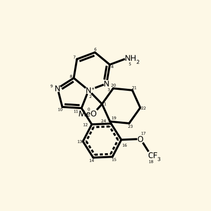 COC1([N+]23N=C(N)C=CC2=NC=C3c2cccc(OC(F)(F)F)c2)CCCCC1